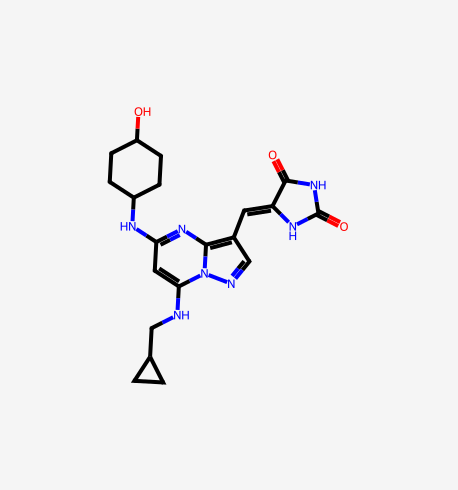 O=C1NC(=O)/C(=C/c2cnn3c(NCC4CC4)cc(NC4CCC(O)CC4)nc23)N1